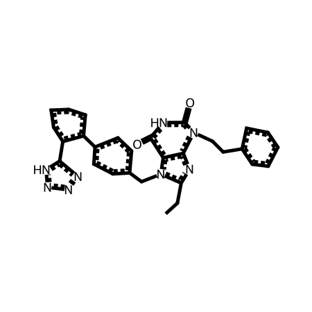 CCc1nc2c(c(=O)[nH]c(=O)n2CCc2ccccc2)n1Cc1ccc(-c2ccccc2-c2nnn[nH]2)cc1